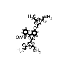 C=CC(=O)OCC(COc1ccc(OCC(COC(=O)C=C)OC(=O)C=C)c(C(=O)c2ccccc2OC)c1)OC(=O)C=C